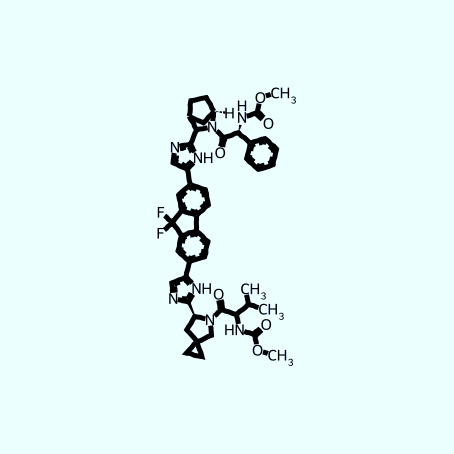 COC(=O)NC(C(=O)N1CC2(CC2)C[C@H]1c1ncc(-c2ccc3c(c2)C(F)(F)c2cc(-c4cnc(C5C6CC[C@H](C6)N5C(=O)[C@H](NC(=O)OC)c5ccccc5)[nH]4)ccc2-3)[nH]1)C(C)C